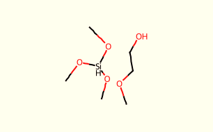 COCCO.CO[SiH](OC)OC